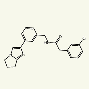 O=C(Cc1cccc(Cl)c1)NCc1cccc(-c2cn3c(n2)CCC3)c1